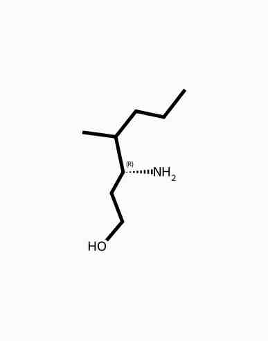 CCCC(C)[C@H](N)CCO